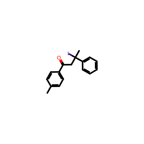 Cc1ccc(C(=O)CC(C)(I)c2ccccc2)cc1